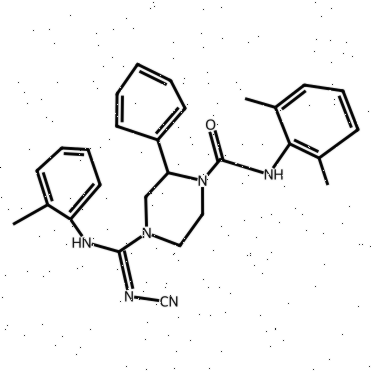 Cc1ccccc1N/C(=N/C#N)N1CCN(C(=O)Nc2c(C)cccc2C)C(c2ccccc2)C1